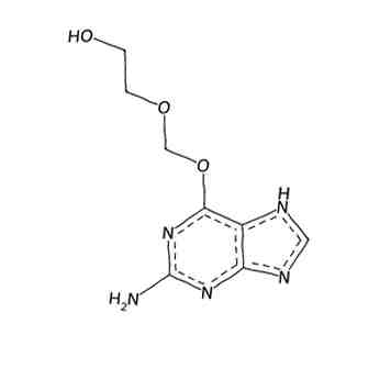 Nc1nc(OCOCCO)c2[nH]cnc2n1